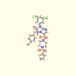 C[C@@]1(Cc2ccc(Br)cc2)C(=O)N(c2cc(Cl)cc(Cl)c2)c2ncc(S(=O)(=O)N3CCN(S(=O)(=O)c4cccs4)CC3)n21